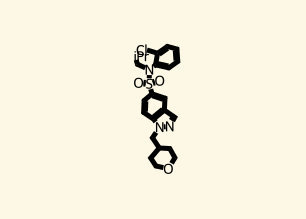 CC(C)CN(c1ccccc1Cl)S(=O)(=O)c1ccc2c(cnn2CC2CCOCC2)c1